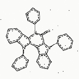 S=c1c2c(c3ccccc3n2-c2ccccc2)c2c(c3ccccc3n2-c2ccccc2)n1-c1ccccc1